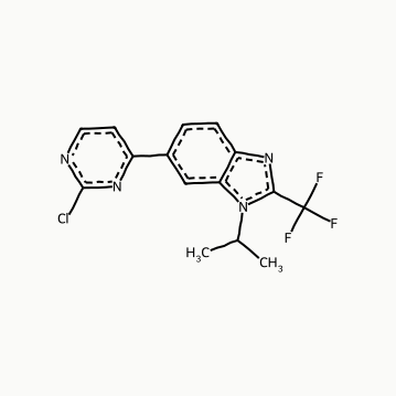 CC(C)n1c(C(F)(F)F)nc2ccc(-c3ccnc(Cl)n3)cc21